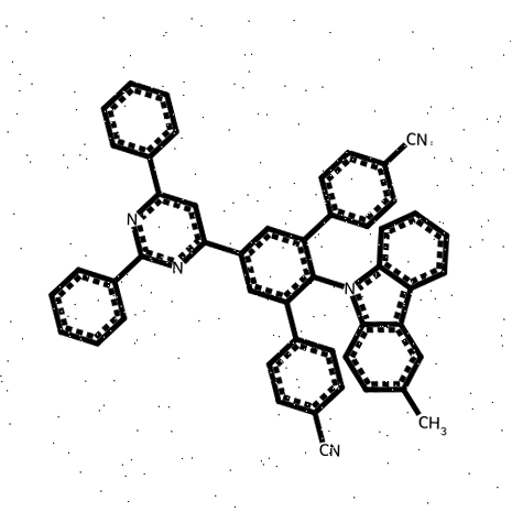 Cc1ccc2c(c1)c1ccccc1n2-c1c(-c2ccc(C#N)cc2)cc(-c2cc(-c3ccccc3)nc(-c3ccccc3)n2)cc1-c1ccc(C#N)cc1